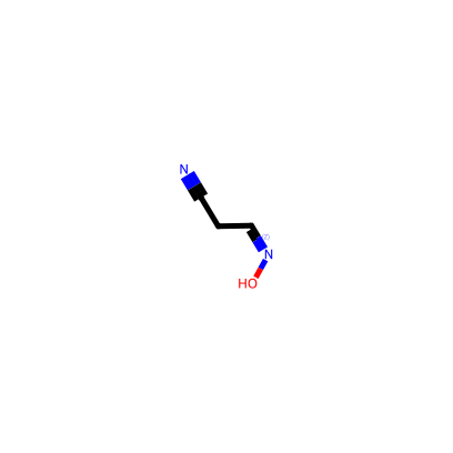 N#CC/C=N\O